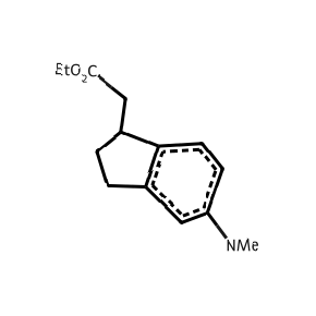 CCOC(=O)CC1CCc2cc(NC)ccc21